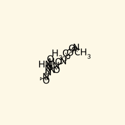 Cc1ncoc1COc1ccc2c(c1C)CCN(C[C@@H](O)CNC(=O)c1cc(NC3COC3)nc(N3CCN(C(=O)C4CC4)CC3)n1)C2